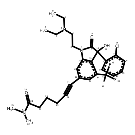 CCN(CC)CCN1C(=O)C(O)(c2ccccc2Cl)c2c1cc(C#CCCCC(=O)N(C)C)cc2C(F)(F)F